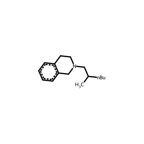 CCCCC(C)CN1CCc2ccccc2C1